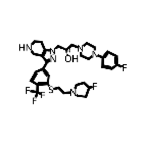 O[C@@H](CN1CCN(c2ccc(F)cc2)CC1)Cn1nc(-c2ccc(C(F)(F)F)c(SCCN3CCC(F)CC3)c2)c2c1CCNC2